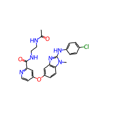 CC(=O)NCCNC(=O)c1cc(Oc2ccc3c(c2)nc(Nc2ccc(Cl)cc2)n3C)ccn1